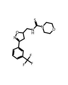 FC(F)(F)c1cccc(C2=NOC(CNC(=S)N3CCOCC3)C2)c1